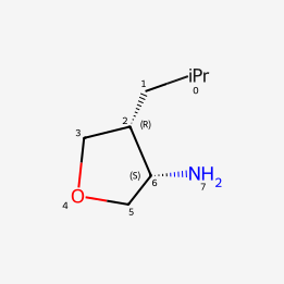 CC(C)C[C@H]1COC[C@H]1N